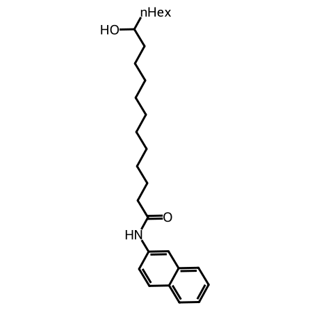 CCCCCCC(O)CCCCCCCCCCC(=O)Nc1ccc2ccccc2c1